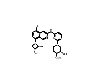 CO[C@H]1CCN(c2nccc(Nc3cc4c(C(C)C)ccc(N5C[C@H](O)[C@H]5C)c4cn3)n2)C[C@H]1O